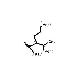 CCCCCCCCCC(C(N)=O)C(C)CCCCC